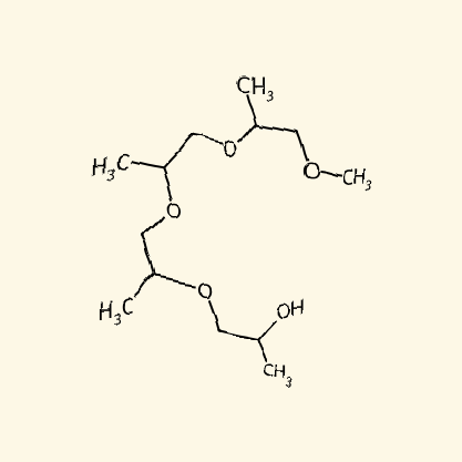 COCC(C)OCC(C)OCC(C)OCC(C)O